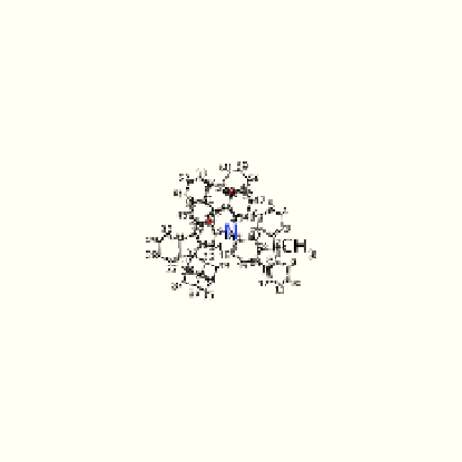 CC1(c2ccccc2)c2ccccc2-c2ccc(N(c3ccc4c(c3)C3(c5ccccc5-4)C4CC5CC6CC3C564)c3ccccc3-c3cccc4cccc(C5CCCCC5)c34)cc21